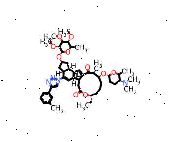 CC[C@H]1CCC[C@H](O[C@H]2CC[C@H](N(C)C)C(C)O2)[C@@H](C)C(=O)C2=C[C@@H]3[C@@H](C=C(n4cc(-c5cccc(C)c5)nn4)[C@@H]4C[C@@H](O[C@@H]5OC(C)[C@H](OC)C(OC)C5OC)C[C@@H]34)[C@@H]2CC(=O)O1